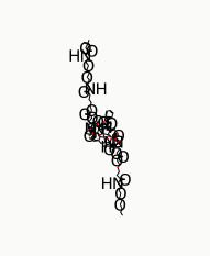 CCCOCCOCCNC(=O)CCCCOC(=O)OC[C@]12SS[C@@]3(C[C@]4([C@]56C[C@@]78SS[C@@](COC(=O)OCCCCC(=O)NCCOCCOCCNC(=O)OC(C)(C)C)(C(=O)N7[C@H]5N(S(=O)(=O)c5ccccc5)c5ccccc56)N(C)C8=O)c5ccccc5C[C@@H]4N3C1=O)C(=O)N2C